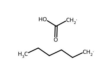 [CH2]C(=O)O.[CH2]CCCCC